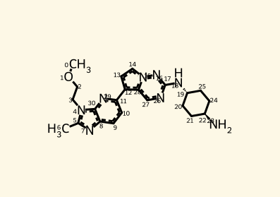 COCCn1c(C)nc2ccc(-c3ccn4nc(N[C@H]5CC[C@H](N)CC5)ncc34)nc21